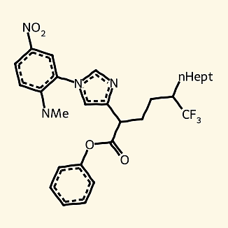 CCCCCCCC(CCC(C(=O)Oc1ccccc1)c1cn(-c2cc([N+](=O)[O-])ccc2NC)cn1)C(F)(F)F